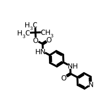 CC(C)(C)OC(=O)Nc1ccc(NC(=O)c2ccncc2)cc1